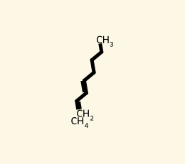 C.C=CC=CCCCC